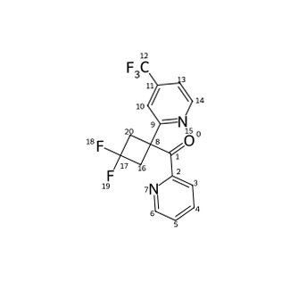 O=C(c1ccccn1)C1(c2cc(C(F)(F)F)ccn2)CC(F)(F)C1